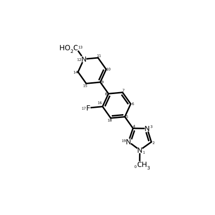 Cn1cnc(-c2ccc(C3=CCN(C(=O)O)CC3)c(F)c2)n1